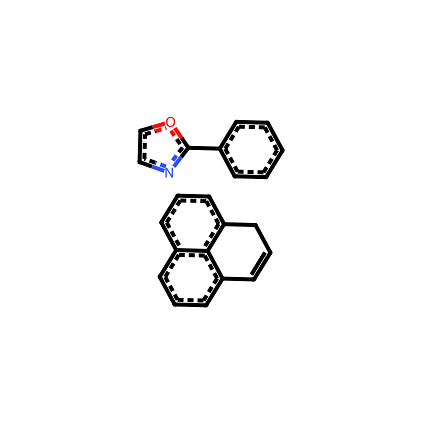 C1=Cc2cccc3cccc(c23)C1.c1ccc(-c2ncco2)cc1